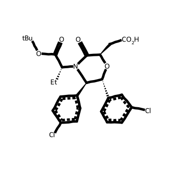 CC[C@H](C(=O)OC(C)(C)C)N1C(=O)[C@@H](CC(=O)O)O[C@H](c2cccc(Cl)c2)[C@H]1c1ccc(Cl)cc1